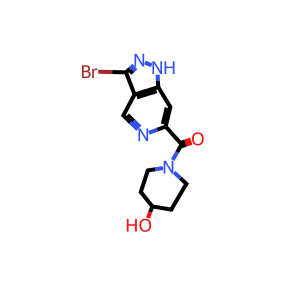 O=C(c1cc2[nH]nc(Br)c2cn1)N1CCC(O)CC1